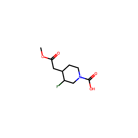 COC(=O)CC1CCN(C(=O)O)CC1F